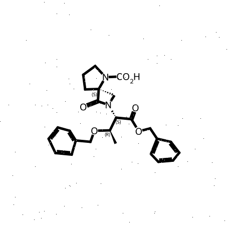 C[C@@H](OCc1ccccc1)[C@@H](C(=O)OCc1ccccc1)N1C[C@@]2(CCCN2C(=O)O)C1=O